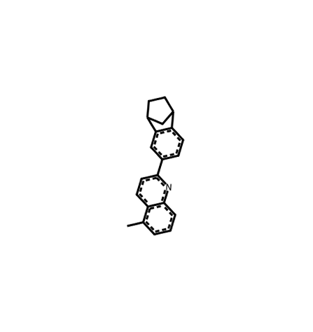 Cc1cccc2nc(-c3ccc4c(c3)C3CCC4C3)ccc12